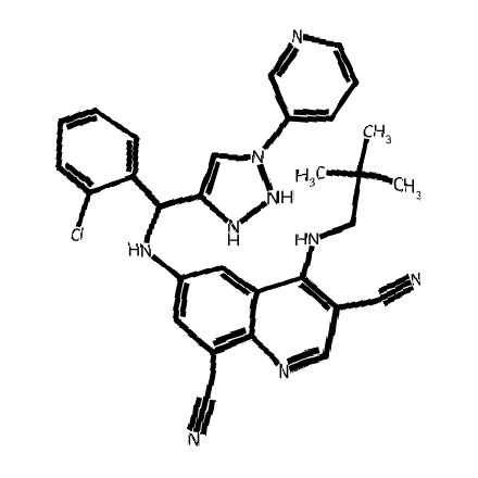 CC(C)(C)CNc1c(C#N)cnc2c(C#N)cc(NC(C3=CN(c4cccnc4)NN3)c3ccccc3Cl)cc12